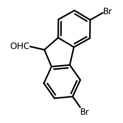 O=CC1c2ccc(Br)cc2-c2cc(Br)ccc21